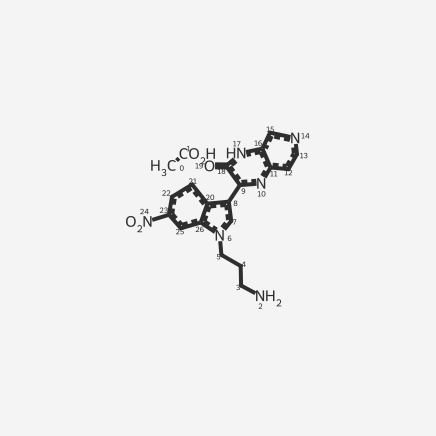 CC(=O)O.NCCCn1cc(-c2nc3ccncc3[nH]c2=O)c2ccc([N+](=O)[O-])cc21